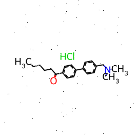 CCCCCC(=O)c1ccc(-c2ccc(CN(C)C)cc2)cc1.Cl